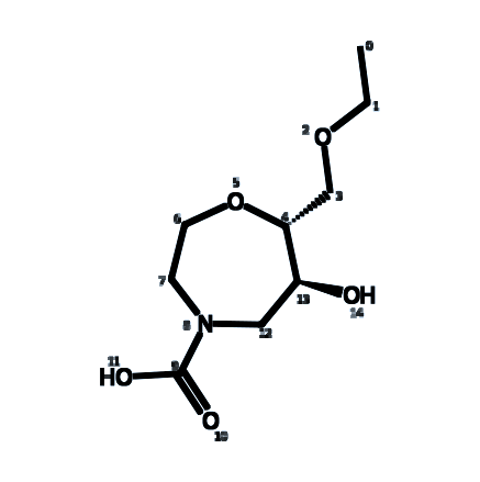 CCOC[C@H]1OCCN(C(=O)O)C[C@@H]1O